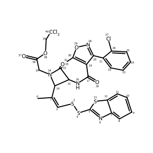 CC(=CSSc1nc2ccccc2s1)C1C(NC(=O)c2c(-c3ccccc3Cl)noc2C)C(=O)N1CC(=O)OCC(Cl)(Cl)Cl